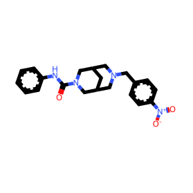 O=C(Nc1ccccc1)N1CC2CC(CN(Cc3ccc([N+](=O)[O-])cc3)C2)C1